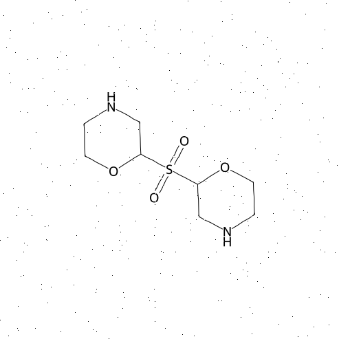 O=S(=O)(C1CNCCO1)C1CNCCO1